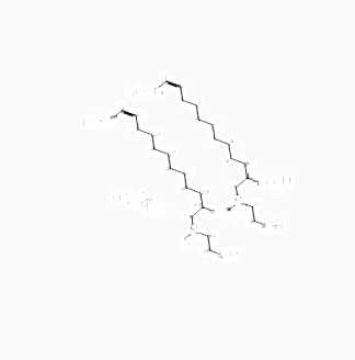 CCCCCCCC/C=C\CCCCCCCCC(CN(C)CCO)C(=O)O.CCCCCCCC/C=C\CCCCCCCCC(CN(C)CCO)C(=O)O.O=S(=O)(O)O